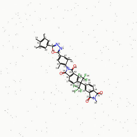 Cc1cc(-c2nnc(-c3cc(C)c(N4C(=O)c5ccc(C(c6ccc7c(c6)C(=O)N(C)C7=O)(C(F)(F)F)C(F)(F)F)cc5C4=O)c(C)c3)o2)cc(C)c1C